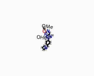 COCCOc1ncc(N(C)C)c(N(C=O)Cc2ccc(CN3CCCC3)cc2)n1